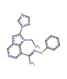 CCn1c(-n2cncn2)nc2cncc(C(C)=NOc3ccccc3)c21